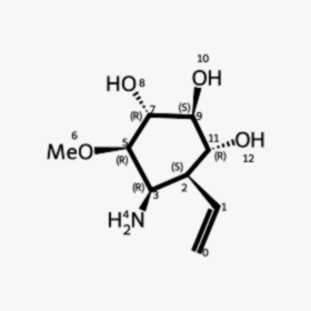 C=C[C@H]1[C@@H](N)[C@@H](OC)[C@H](O)[C@@H](O)[C@@H]1O